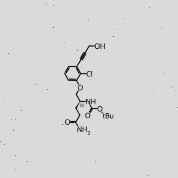 CC(C)(C)OC(=O)N[C@@H](CCC(N)=O)COc1cccc(C#CCO)c1Cl